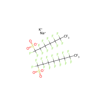 O=S(=O)([O-])C(F)(F)C(F)(F)C(F)(F)C(F)(F)C(F)(F)C(F)(F)C(F)(F)C(F)(F)F.O=S(=O)([O-])C(F)(F)C(F)(F)C(F)(F)C(F)(F)C(F)(F)C(F)(F)C(F)(F)F.[K+].[Na+]